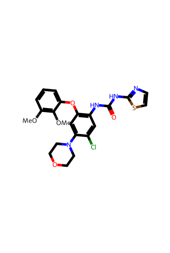 COc1cccc(Oc2cc(N3CCOCC3)c(Cl)cc2NC(=O)Nc2nccs2)c1OC